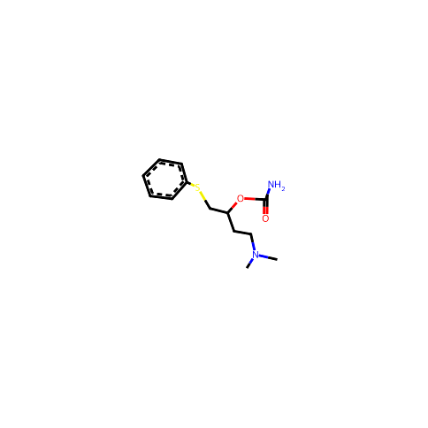 CN(C)CCC(CSc1ccccc1)OC(N)=O